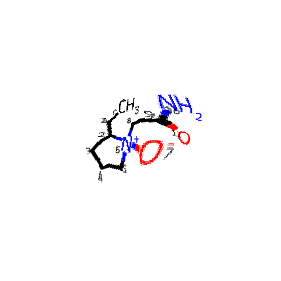 CCC1CCC[N+]1([O-])CC(N)=O